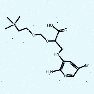 C[Si](C)(C)CCOCOC(CNc1cc(Br)cnc1N)C(=O)O